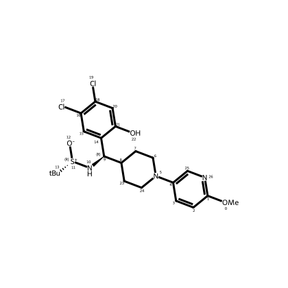 COc1ccc(N2CCC([C@@H](N[S@@+]([O-])C(C)(C)C)c3cc(Cl)c(Cl)cc3O)CC2)cn1